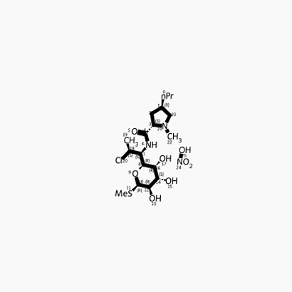 CCC[C@@H]1C[C@@H](C(=O)N[C@@H]([C@H]2O[C@H](SC)[C@H](O)[C@@H](O)[C@H]2O)[C@H](C)Cl)N(C)C1.O=[N+]([O-])O